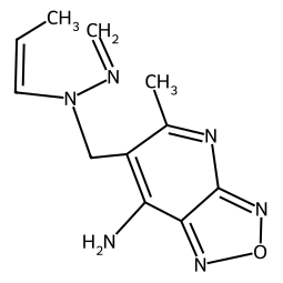 C=NN(/C=C\C)Cc1c(C)nc2nonc2c1N